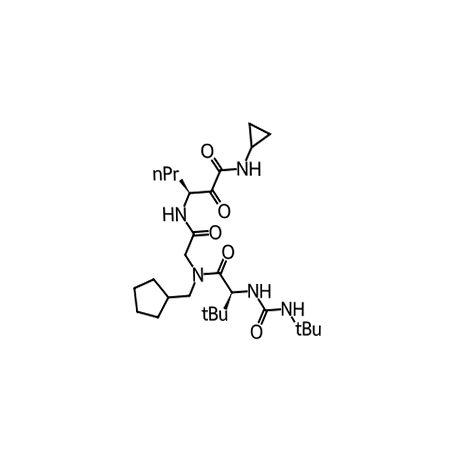 CCC[C@H](NC(=O)CN(CC1CCCC1)C(=O)[C@@H](NC(=O)NC(C)(C)C)C(C)(C)C)C(=O)C(=O)NC1CC1